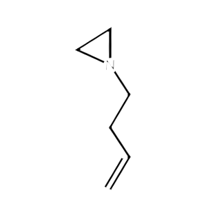 C=CCCN1CC1